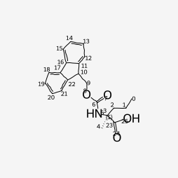 CCC[C@](C)(NC(=O)OCC1c2ccccc2-c2ccccc21)C(=O)O